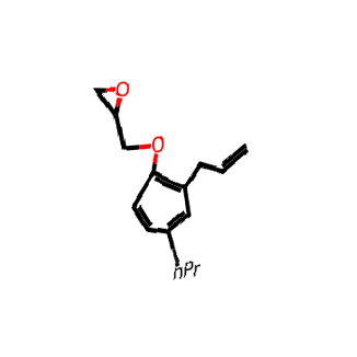 C=CCc1cc(C[C]C)ccc1OCC1CO1